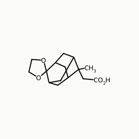 CC1(CC(=O)O)C2CC3CC1CC(C2)C31OCCO1